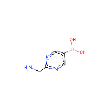 NCc1ncc(B(O)O)cn1